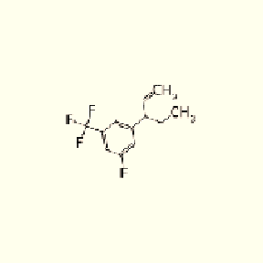 C=CC(CC)c1cc(F)cc(C(F)(F)F)c1